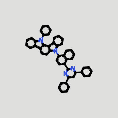 c1ccc(-c2cc(-c3ccccc3)nc(-c3ccc(-n4c5ccccc5c5c4ccc4c6ccccc6n(-c6ccccc6)c45)c4ccccc34)n2)cc1